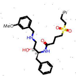 COc1cccc(CNC[C@@H](O)[C@H](Cc2ccccc2)NC(=O)CCCS(=O)(=O)CCC(C)C)c1